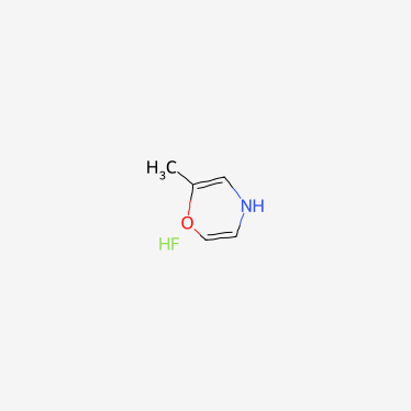 CC1=CNC=CO1.F